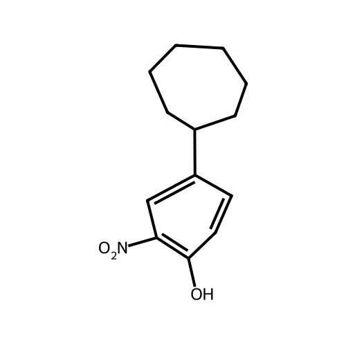 O=[N+]([O-])c1cc(C2CCCCCC2)ccc1O